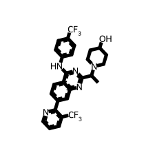 CC(c1nc(Nc2ccc(C(F)(F)F)cc2)c2ccc(-c3ncccc3C(F)(F)F)cc2n1)N1CCC(O)CC1